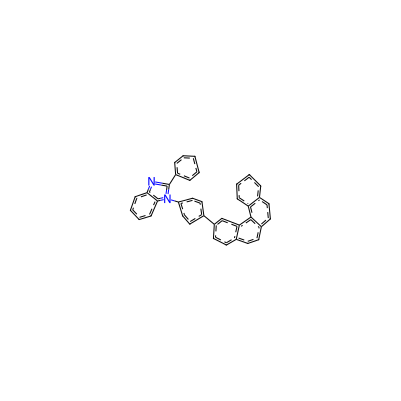 c1ccc(-c2nc3ccccc3n2-c2ccc(-c3ccc4ccc5ccc6ccccc6c5c4c3)cc2)cc1